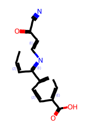 C=C(/C=C\C(=C/C)C(=O)O)C(/C=C\C)=N/C=C/C(=O)C#N